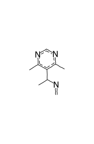 C=NC(C)c1c(C)ncnc1C